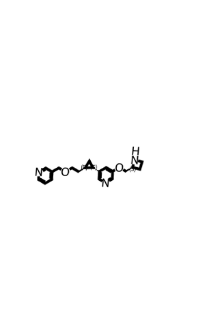 c1cncc(COCC[C@H]2C[C@@H]2c2cncc(OC[C@@H]3CCN3)c2)c1